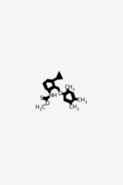 COC(=S)Nc1cccc(C2CC2)c1COc1cc(C)c(C)cc1C